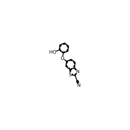 N#Cc1nc2ccc(Oc3ccccc3O)cc2s1